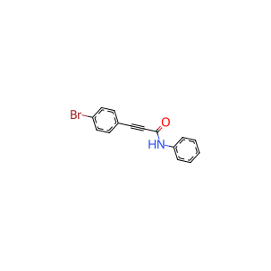 O=C(C#Cc1ccc(Br)cc1)Nc1ccccc1